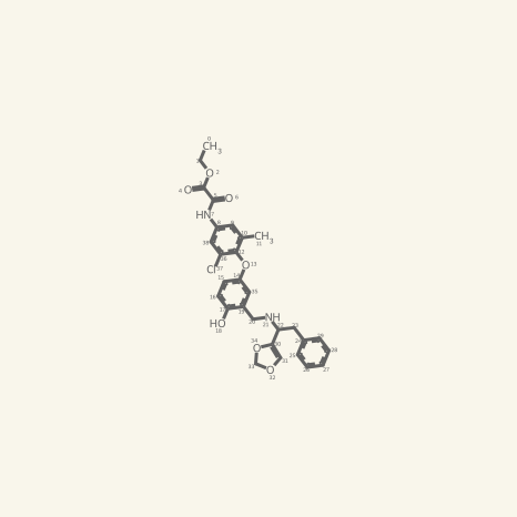 CCOC(=O)C(=O)Nc1cc(C)c(Oc2ccc(O)c(CNC(Cc3ccccc3)C3=COCO3)c2)c(Cl)c1